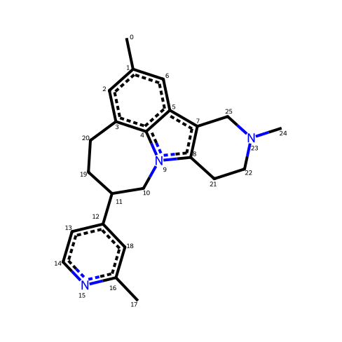 Cc1cc2c3c(c1)c1c(n3CC(c3ccnc(C)c3)CC2)CCN(C)C1